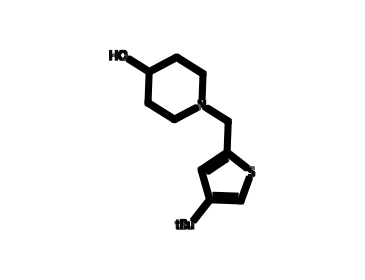 CC(C)(C)c1csc(CN2CCC(O)CC2)c1